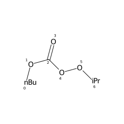 CCCCOC(=O)OOC(C)C